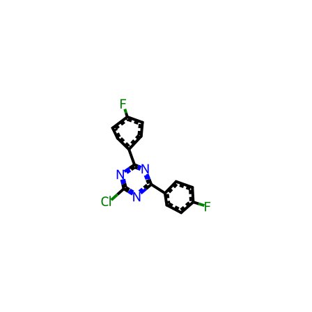 Fc1ccc(-c2nc(Cl)nc(-c3ccc(F)cc3)n2)cc1